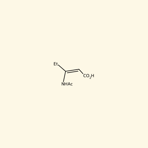 CCC(=CC(=O)O)NC(C)=O